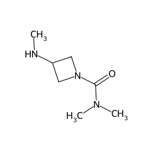 CNC1CN(C(=O)N(C)C)C1